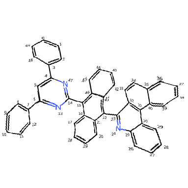 c1ccc(-c2cc(-c3ccccc3)nc(-c3c4ccccc4c(-c4nc5ccccc5c5c4ccc4ccccc45)c4ccccc34)n2)cc1